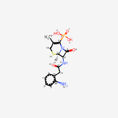 CC1=C(P(=O)(O)O)N2C(=O)[C@@H](NC(=O)Cc3ccccc3N)[C@H]2SC1